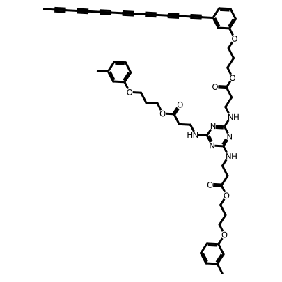 CC#CC#CC#CC#CC#CC#CC#Cc1cccc(OCCCOC(=O)CCNc2nc(NCCC(=O)OCCCOc3cccc(C)c3)nc(NCCC(=O)OCCCOc3cccc(C)c3)n2)c1